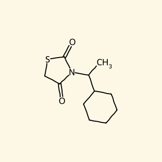 CC(C1CCCCC1)N1C(=O)CSC1=O